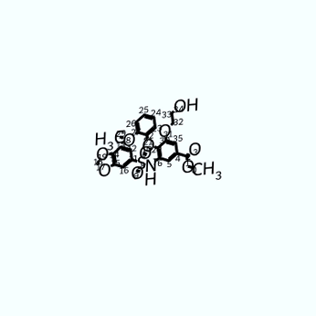 COC(=O)c1cc(NS(=O)(=O)c2ccc3c(c2)OCO3)c(Oc2ccccc2OC)c(OCCO)c1